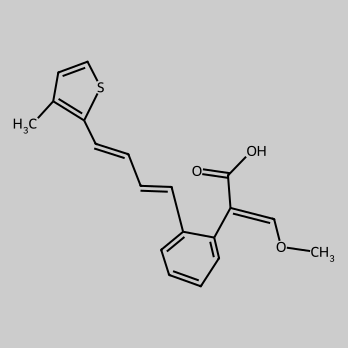 CO/C=C(/C(=O)O)c1ccccc1/C=C/C=C/c1sccc1C